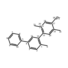 Cc1ccc(-c2ccccc2)cc1-c1cc(C)c(C(C)C)c[n+]1C